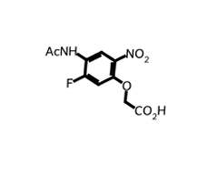 CC(=O)Nc1cc([N+](=O)[O-])c(OCC(=O)O)cc1F